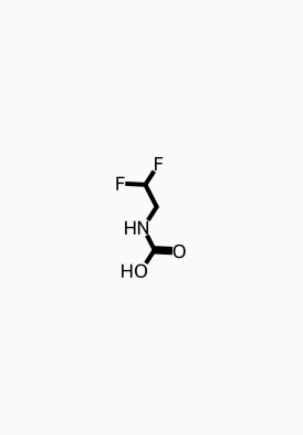 O=C(O)NCC(F)F